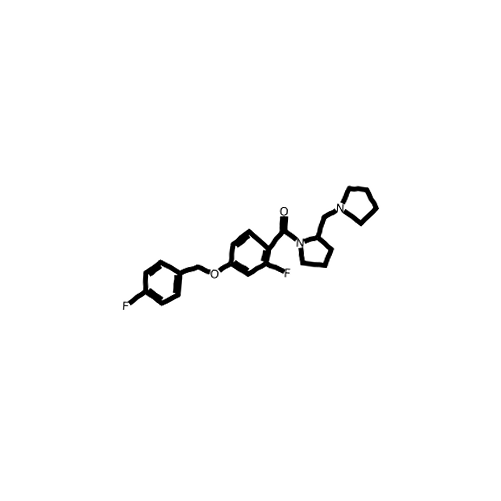 O=C(c1ccc(OCc2ccc(F)cc2)cc1F)N1CCCC1CN1CCCC1